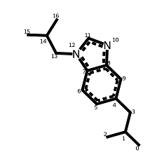 CC(C)Cc1ccc2c(c1)ncn2CC(C)C